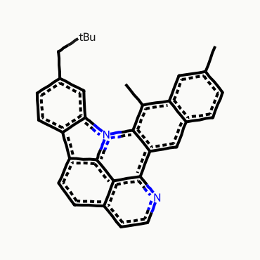 Cc1ccc2cc3c4nccc5ccc6c7ccc(CC(C)(C)C)cc7n(c3c(C)c2c1)c6c54